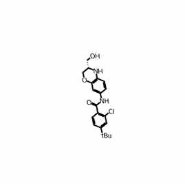 CC(C)(C)c1ccc(C(=O)Nc2ccc3c(c2)OC[C@H](CO)N3)c(Cl)c1